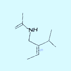 C=C(C)NC/C(=C\C)C(C)C